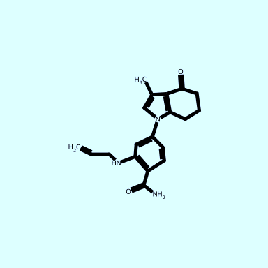 C=CCNc1cc(-n2cc(C)c3c2CCCC3=O)ccc1C(N)=O